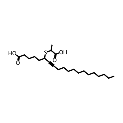 CCCCCCCCCCCCC#CC(CCCCC(=O)O)SC(C)C(=O)O